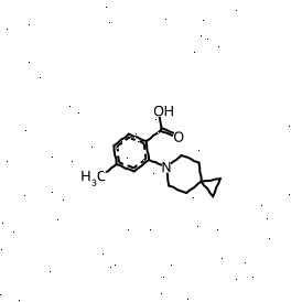 Cc1ccc(C(=O)O)c(N2CCC3(CC2)CC3)c1